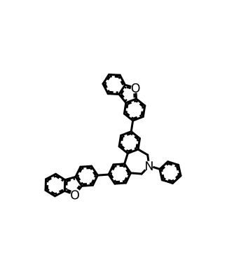 c1ccc(N2Cc3cc(-c4ccc5oc6ccccc6c5c4)ccc3-c3cc(-c4ccc5c(c4)oc4ccccc45)ccc3C2)cc1